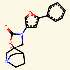 O=C1O[C@]2(CN3CCC2CC3)CN1c1coc(-c2ccccc2)c1